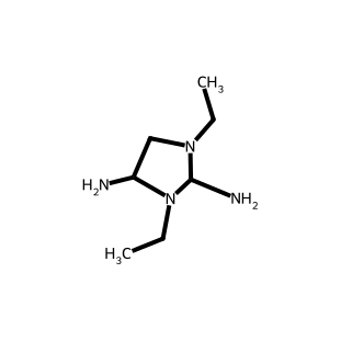 CCN1CC(N)N(CC)C1N